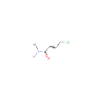 CCN(CC)C(=O)/C=C/CCl